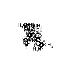 Cc1cc(N)c(Cl)c(-c2nc3c4c(nc(OC[C@@]56CCCN5C[C@H](F)C6)nc4c2F)N([C@H](C)c2cccnc2N(C(=O)OC(C)(C)C)C(=O)OC(C)(C)C)CCO3)c1I